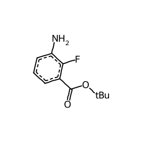 CC(C)(C)OC(=O)c1cccc(N)c1F